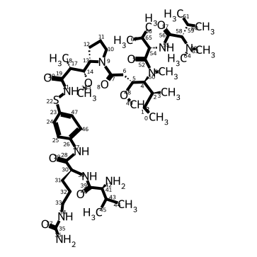 CC[C@H](C)[C@@H]([C@@H](CC(=O)N1CCC[C@H]1[C@H](OC)[C@@H](C)C(=O)NSc1ccc(NC(=O)[C@H](CCCNC(N)=O)NC(=O)[C@@H](N)C(C)C)cc1)OC)N(C)C(=O)[C@@H](NC(=O)[C@H](C(C)C)N(C)C)C(C)C